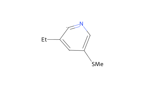 CCc1[c]ncc(SC)c1